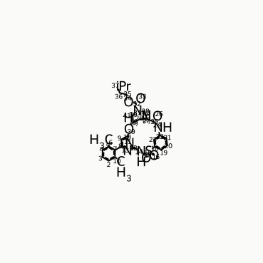 Cc1cccc(C)c1-c1cc2nc(n1)NS(=O)(=O)c1cccc(c1)NC(=O)[C@@H]1C[C@@H](CN(C(=O)OCCC(C)C)C1)O2